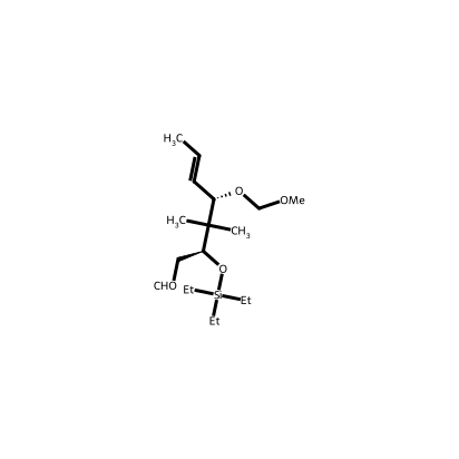 C/C=C/[C@H](OCOC)C(C)(C)[C@H](CC=O)O[Si](CC)(CC)CC